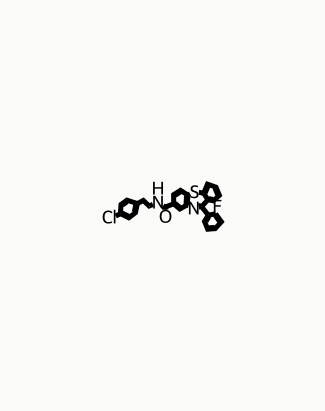 O=C(NCCc1ccc(Cl)cc1)c1ccc2c(c1)N=C(c1ccccc1F)c1ccccc1S2